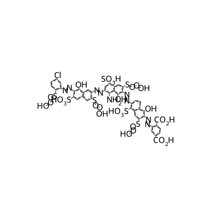 Nc1c(N=Nc2cc3c(O)c(N=Nc4cc(Cl)ccc4SOOO)c(S(=O)(=O)O)cc3cc2SOOO)cc(S(=O)(=O)O)c2cc(SOOO)c(N=Nc3ccc4c(O)c(N=Nc5cc(C(=O)O)ccc5C(=O)O)c(SOOO)cc4c3S(=O)(=O)O)c(O)c12